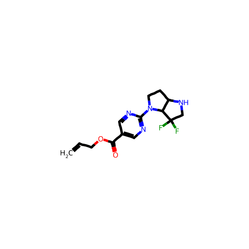 C=CCOC(=O)c1cnc(N2CCC3NCC(F)(F)C32)nc1